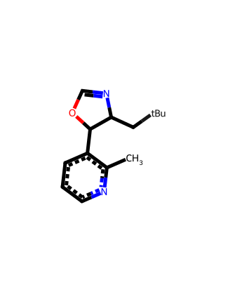 Cc1ncccc1C1OC=NC1CC(C)(C)C